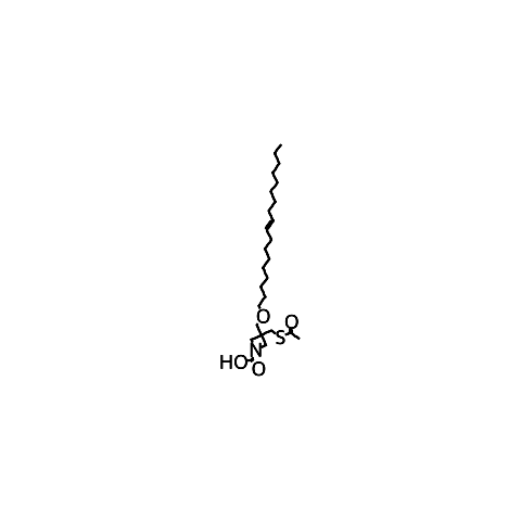 CCCCCCCCC=CCCCCCCCCOCC1(CSC(C)=O)CN(C(=O)O)C1